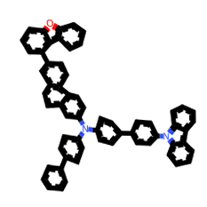 c1ccc(-c2ccc(N(c3ccc(-c4ccc(-n5c6ccccc6c6ccccc65)cc4)cc3)c3ccc4c(ccc5cc(-c6cccc7oc8ccccc8c67)ccc54)c3)cc2)cc1